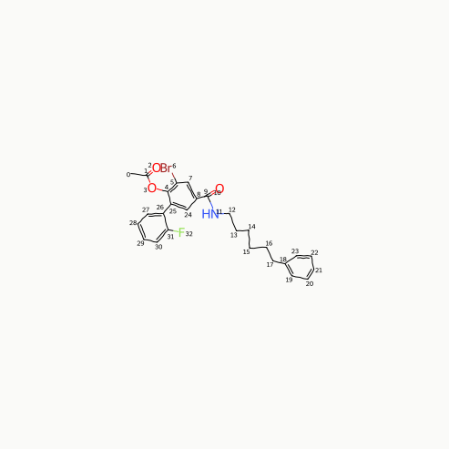 CC(=O)Oc1c(Br)cc(C(=O)NCCCCCCc2ccccc2)cc1-c1ccccc1F